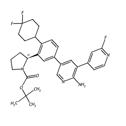 CC(C)(C)OC(=O)N1CCC[C@H]1c1cc(-c2cnc(N)c(-c3ccnc(F)c3)c2)ccc1C1CCC(F)(F)CC1